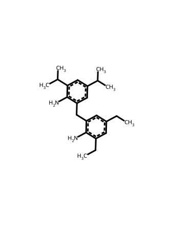 CCc1cc(CC)c(N)c(Cc2cc(C(C)C)cc(C(C)C)c2N)c1